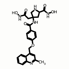 Cc1cc(COc2ccc(C(=O)NC3(CC(=O)NO)CNC(C(=O)NO)C3)cc2)c2ccccc2n1